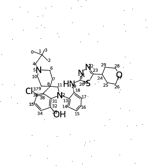 CC(C)(C)CN1CCC2(CC1)CN(c1ccccc1Nc1nnc(C3CCOCC3)s1)c1c(O)ccc(Cl)c12